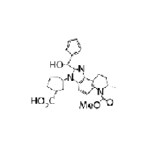 COC(=O)N1c2ccc3c(nc([C@H](O)c4ccccc4)n3C3CCCC(C(=O)O)C3)c2CC[C@@H]1C